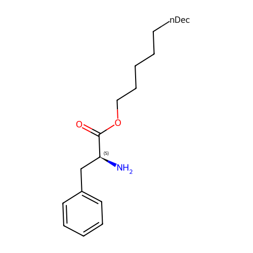 CCCCCCCCCCCCCCCOC(=O)[C@@H](N)Cc1ccccc1